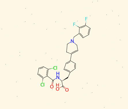 O=C(N[C@@H](Cc1ccc(C2=CCN(Cc3cccc(F)c3F)CC2)cc1)C(=O)O)c1c(Cl)cccc1Cl